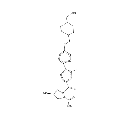 CC(C)(C)CN1CCC(COc2ccc(-c3ccc(C(=O)N4C[C@H](O)C[C@H]4C(N)=O)cc3F)nc2)CC1